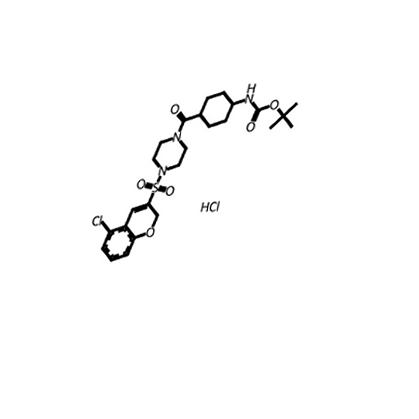 CC(C)(C)OC(=O)NC1CCC(C(=O)N2CCN(S(=O)(=O)C3=Cc4c(Cl)cccc4OC3)CC2)CC1.Cl